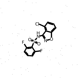 O=S(=O)(Nc1noc2cccc(Cl)c12)c1c(F)cccc1F